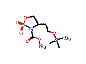 CC(C)(C)OC(=O)N1C(CCO[Si](C)(C)C(C)(C)C)COS1(=O)=O